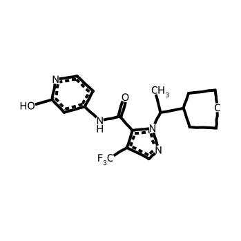 CC(C1CCCCC1)n1ncc(C(F)(F)F)c1C(=O)Nc1ccnc(O)c1